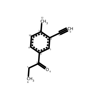 C#Cc1cc(C(=O)CC)ccc1C